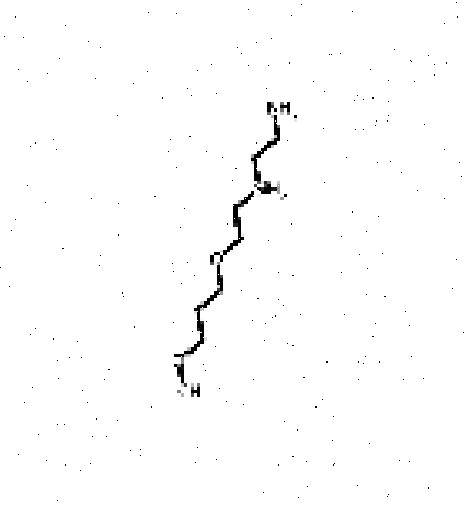 COCCCOCC[SiH2]CCN